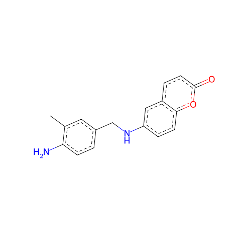 Cc1cc(CNc2ccc3oc(=O)ccc3c2)ccc1N